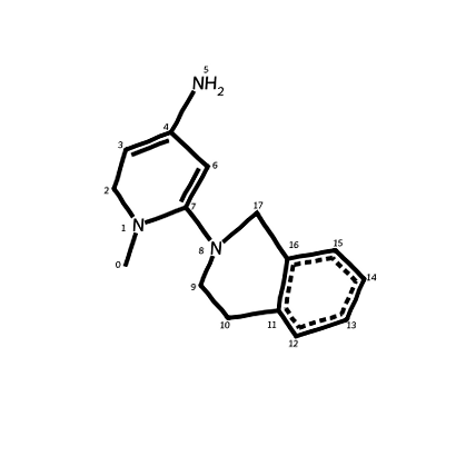 CN1CC=C(N)C=C1N1CCc2ccccc2C1